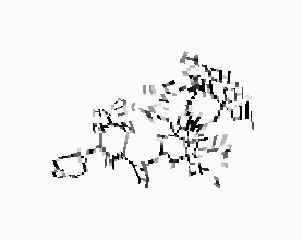 CN1C(C)(C)CC([N+]2(C)C(C)(C)CC(Nc3nc(NO)nc(N4CCOCC4)n3)CC2(C)C)CC1(C)C